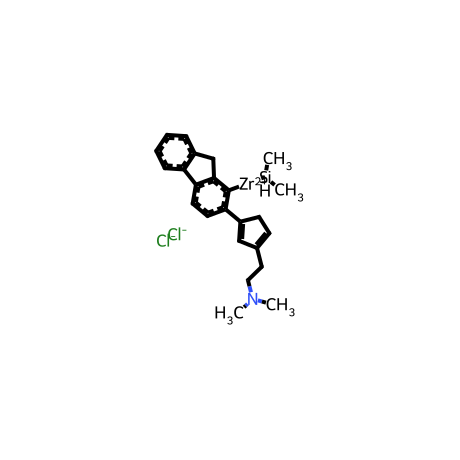 CN(C)CCC1=CCC(c2ccc3c([c]2[Zr+2][SiH](C)C)Cc2ccccc2-3)=C1.[Cl-].[Cl-]